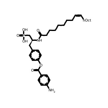 CCCCCCCC/C=C\CCCCCCCC(=O)N[C@@H](Cc1ccc(OC(=O)c2ccc(N)cc2)cc1)CP(=O)(O)O